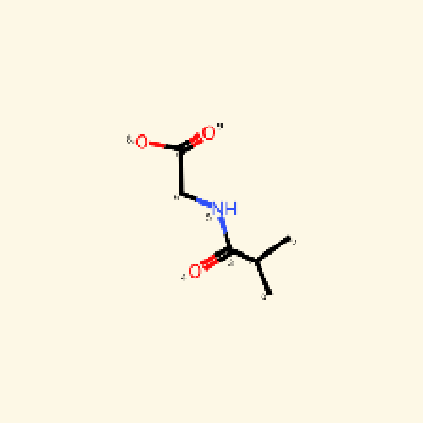 CC(C)C(=O)NCC([O])=O